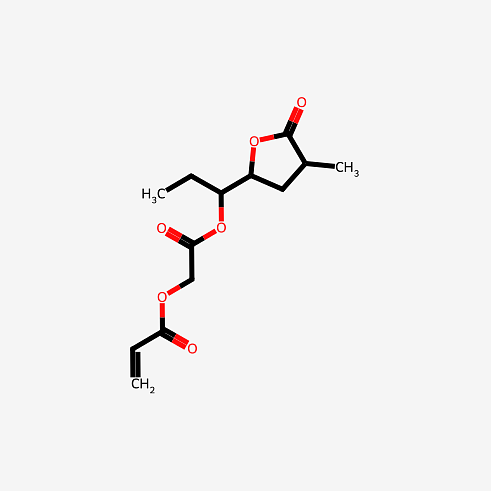 C=CC(=O)OCC(=O)OC(CC)C1CC(C)C(=O)O1